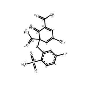 CC1=CC(Cc2cc(Cl)ccc2S(C)(=O)=O)(C(=O)O)C(=N)C(C(=O)O)=C1